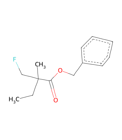 CCC(C)(CF)C(=O)OCc1ccccc1